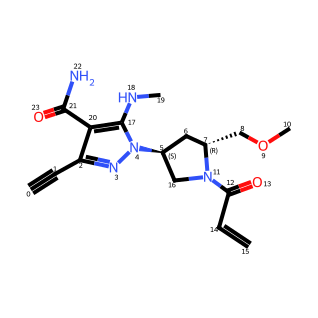 C#Cc1nn([C@H]2C[C@H](COC)N(C(=O)C=C)C2)c(NC)c1C(N)=O